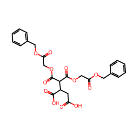 O=C(O)CC(C(=O)O)C(C(=O)OCC(=O)OCc1ccccc1)C(=O)OCC(=O)OCc1ccccc1